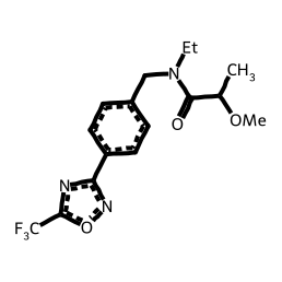 CCN(Cc1ccc(-c2noc(C(F)(F)F)n2)cc1)C(=O)C(C)OC